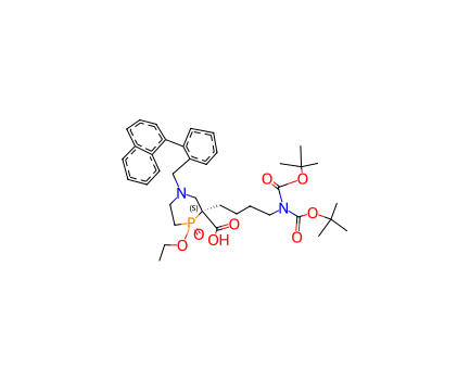 CCOP1(=O)CCN(Cc2ccccc2-c2cccc3ccccc23)C[C@@]1(CCCCN(C(=O)OC(C)(C)C)C(=O)OC(C)(C)C)C(=O)O